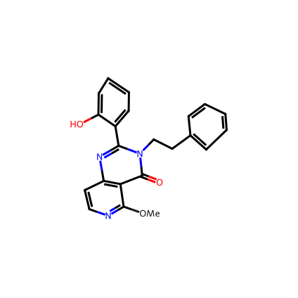 COc1nccc2nc(-c3ccccc3O)n(CCc3ccccc3)c(=O)c12